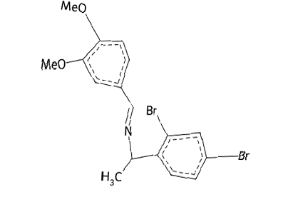 COc1ccc(C=NC(C)c2ccc(Br)cc2Br)cc1OC